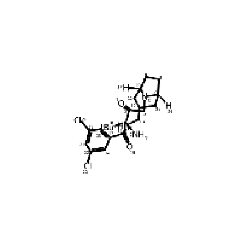 CC(C)(C)[C@H](N)C(=O)CN1[C@@H]2CC[C@H]1C[C@H](CNC(=O)c1cc(Cl)cc(Cl)c1)C2